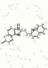 C=C/C=C\c1c(C)ccc2[nH]c(CCc3ccc4ccccc4n3)nc12